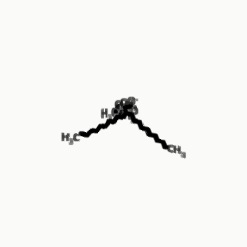 CCCCCCCCCCCC(CCCCCCCCCCC)C(C)(C(=O)[O-])[N+](C)(C)C